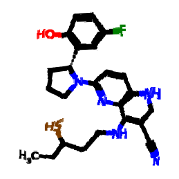 CCC(S)CCNC1=C(C#N)CNc2ccc(N3CCC[C@@H]3c3cc(F)ccc3O)nc21